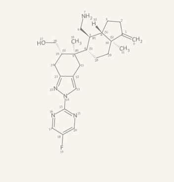 C=C1CC[C@H]2[C@H](CN)[C@@H]([C@@]3(C)Cc4cn(-c5ncc(F)cn5)nc4C[C@@H]3CO)CC[C@]12C